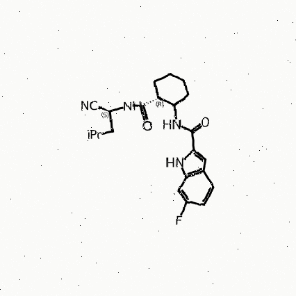 CC(C)C[C@@H](C#N)NC(=O)[C@@H]1CCCCC1NC(=O)c1cc2ccc(F)cc2[nH]1